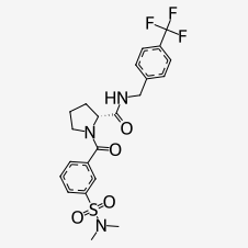 CN(C)S(=O)(=O)c1cccc(C(=O)N2CCC[C@@H]2C(=O)NCc2ccc(C(F)(F)F)cc2)c1